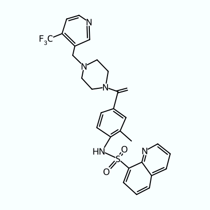 C=C(c1ccc(NS(=O)(=O)c2cccc3cccnc23)c(C)c1)N1CCN(Cc2cnccc2C(F)(F)F)CC1